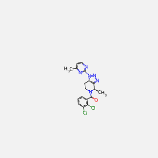 Cc1ccnc(-n2nnc3c2CCN(C(=O)c2cccc(Cl)c2Cl)[C@@H]3C)n1